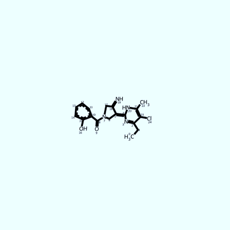 CCC1=N/C(=C2\CN(C(=O)c3ccccc3O)CC2=N)NC(C)=C1Cl